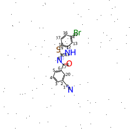 N#Cc1cccc(C(=O)/N=c2\[nH]c3cc(Br)ccc3s2)c1